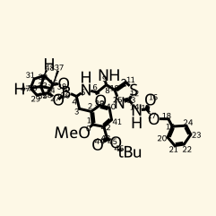 COc1c(CC(NC(=O)C(N)c2csc(NC(=O)OCc3ccccc3)n2)B2OC3C[C@H]4C[C@@H](C4(C)C)[C@]3(C)O2)cccc1C(=O)OC(C)(C)C